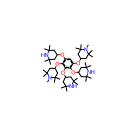 CN1C(C)(C)CC(Oc2cc(OC3CC(C)(C)NC(C)(C)C3)c(OC3CC(C)(C)N(C)C(C)(C)C3)c(OC3CC(C)(C)NC(C)(C)C3)c2OC2CC(C)(C)NC(C)(C)C2)CC1(C)C